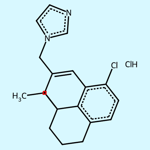 CCC12CCCc3ccc(Cl)c(c31)C=C(Cn1ccnc1)C2.Cl